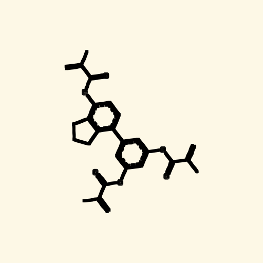 C=C(C)C(=O)Oc1cc(OC(=O)C(=C)C)cc(-c2ccc(OC(=O)C(=C)C)c3c2CCC3)c1